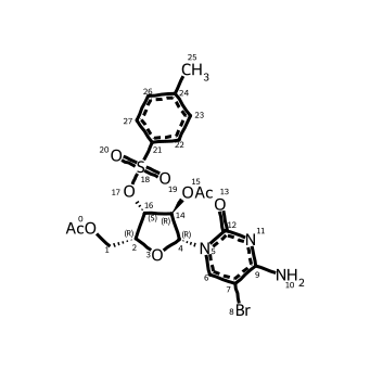 CC(=O)OC[C@H]1O[C@@H](n2cc(Br)c(N)nc2=O)[C@H](OC(C)=O)[C@H]1OS(=O)(=O)c1ccc(C)cc1